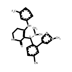 CN(C)[C@@H](C1=C(Nc2cccc(C(F)(F)F)c2)CCNC1=O)c1ccc(C#N)cc1-c1cnn(C)c1